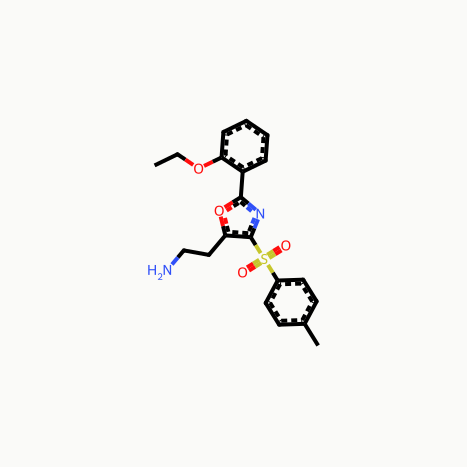 CCOc1ccccc1-c1nc(S(=O)(=O)c2ccc(C)cc2)c(CCN)o1